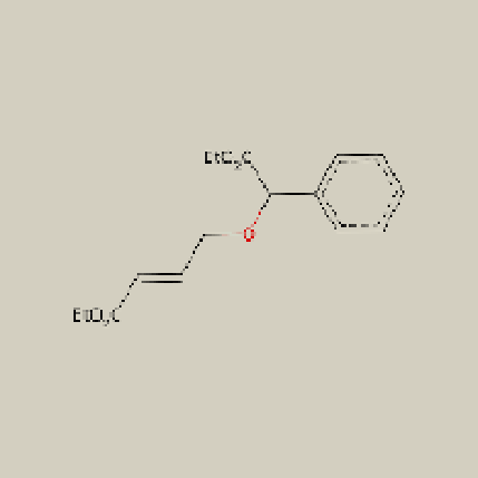 CCOC(=O)C=CCOC(C(=O)OCC)c1ccccc1